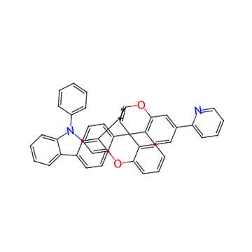 c1ccc(-n2c3ccccc3c3cccc(-c4cccc5c4C4(c6ccccc6Oc6ccccc64)c4ccc(-c6ccccn6)cc4O5)c32)cc1